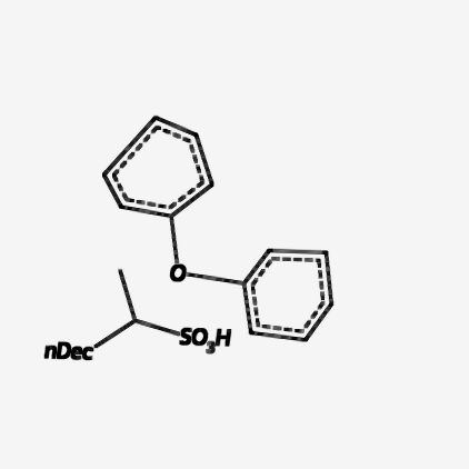 CCCCCCCCCCC(C)S(=O)(=O)O.c1ccc(Oc2ccccc2)cc1